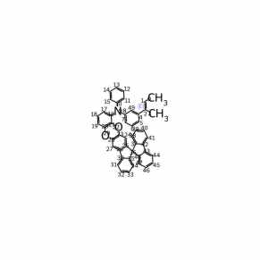 C/C=C(\C)c1cccc(N(c2ccccc2)c2cccc3c2Oc2cc4c(cc2O3)-c2ccccc2C42c3ccccc3-c3ccccc32)c1